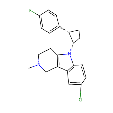 CN1CCc2c(c3cc(Cl)ccc3n2[C@H]2CC[C@H]2c2ccc(F)cc2)C1